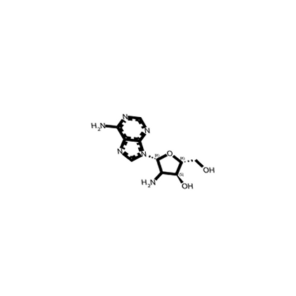 Nc1ncnc2c1ncn2[C@@H]1O[C@H](CO)[C@@H](O)C1N